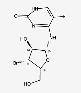 O=c1nc(N[C@@H]2O[C@H](CO)[C@H](Br)[C@H]2O)c(Br)c[nH]1